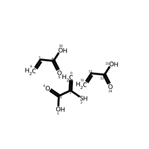 C=C(S)C(=O)O.C=CC(=O)O.C=CC(=O)O